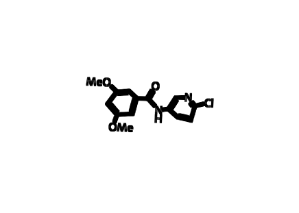 COc1cc(OC)cc(C(=O)Nc2ccc(Cl)nc2)c1